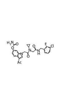 CC(=O)c1cn(CC(=O)N(CC(=O)NCc2cccc(Cl)c2F)C2CC2)c2cc(OC(N)=O)ccc12